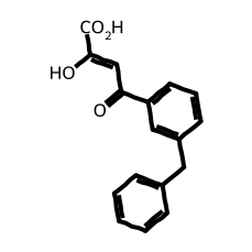 O=C(O)/C(O)=C/C(=O)c1cccc(Cc2ccccc2)c1